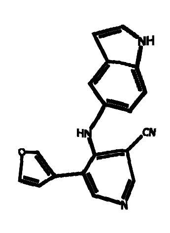 N#Cc1cncc(-c2ccoc2)c1Nc1ccc2[nH]ccc2c1